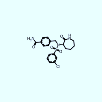 NC(=O)c1ccc(CN([C@@H]2CCCCNC2=O)S(=O)(=O)c2cccc(Cl)c2)cc1